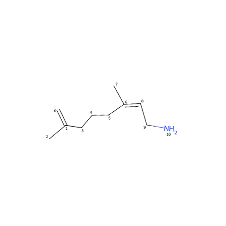 C=C(C)CCC/C(C)=C\CN